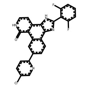 O=c1[nH]ccc2c3[nH]c(-c4c(F)cccc4F)nc3c3ccc(-c4ccc(Cl)cn4)cc3c12